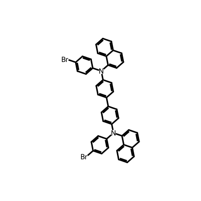 Brc1ccc(N(c2ccc(-c3ccc(N(c4ccc(Br)cc4)c4cccc5ccccc45)cc3)cc2)c2cccc3ccccc23)cc1